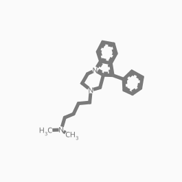 CN(C)CCCCN1CCn2c(c(-c3ccccc3)c3ccccc32)C1